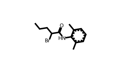 CCCC(Br)C(=O)Nc1c(C)cccc1C